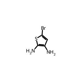 Nc1cc(Br)sc1N